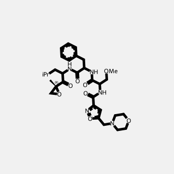 COCC(NC(=O)c1cc(CN2CCOCC2)on1)C(=O)NC(Cc1ccccc1)C(=O)NC(CC(C)C)C(=O)[C@@]1(C)CO1